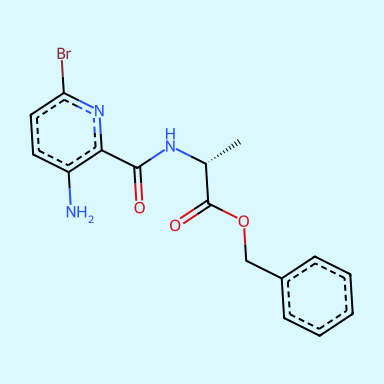 C[C@@H](NC(=O)c1nc(Br)ccc1N)C(=O)OCc1ccccc1